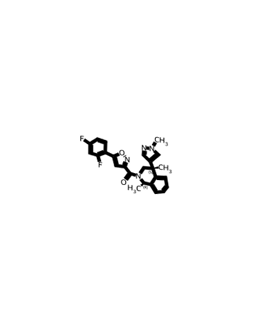 C[C@@H]1c2ccccc2[C@@](C)(c2cnn(C)c2)CN1C(=O)c1cc(-c2ccc(F)cc2F)on1